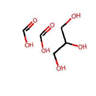 O=CO.O=CO.OCC(O)CO